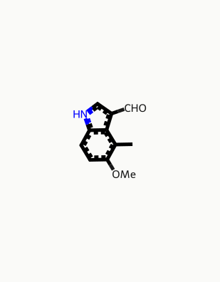 COc1ccc2[nH]cc(C=O)c2c1C